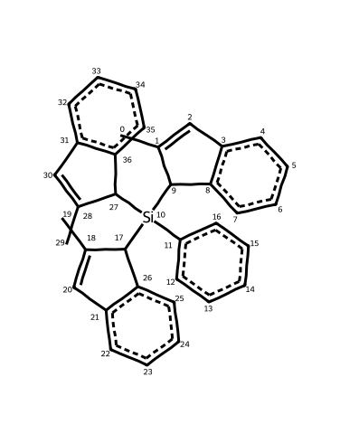 CC1=Cc2ccccc2C1[Si](c1ccccc1)(C1C(C)=Cc2ccccc21)C1C(C)=Cc2ccccc21